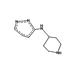 c1cnnc(NC2CCNCC2)c1